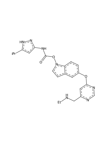 CCNCc1cc(Oc2ccc3c(ccn3OC(=O)Nc3cc(C(C)C)[nH]n3)c2)ncn1